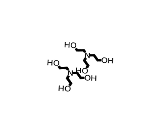 OCCN(CCO)CCO.OCCN(CCO)CCO